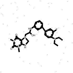 CCN(CC)c1ccc(-c2cccc(NC(O)CN3CNc4c3c(=O)n(C)c(=O)n4C)c2)cc1F